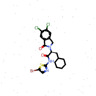 O=C(Nc1ncc(Br)s1)[C@H](CC1CCCCC1)N1Cc2cc(Cl)c(Cl)cc2C1=O